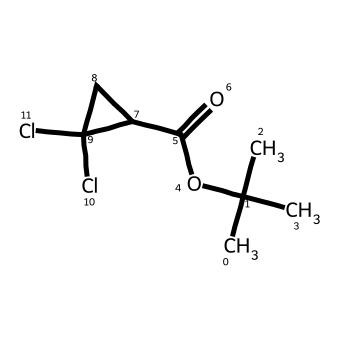 CC(C)(C)OC(=O)C1CC1(Cl)Cl